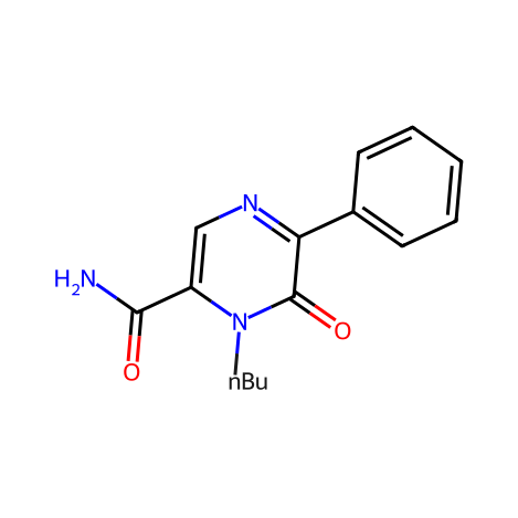 CCCCn1c(C(N)=O)cnc(-c2ccccc2)c1=O